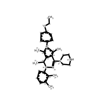 CCOc1ccc(-n2c(C)c3c(c2C)C(C)N(c2cccc(C)c2C)N=C3N2CCNCC2)cc1